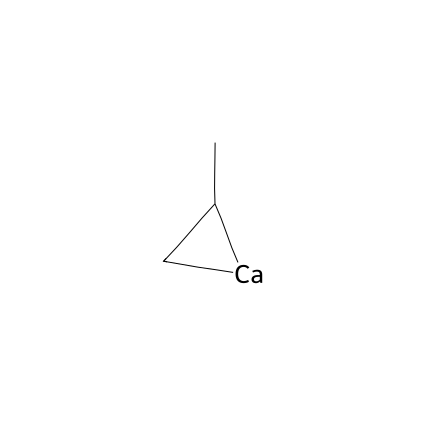 C[CH]1[CH2][Ca]1